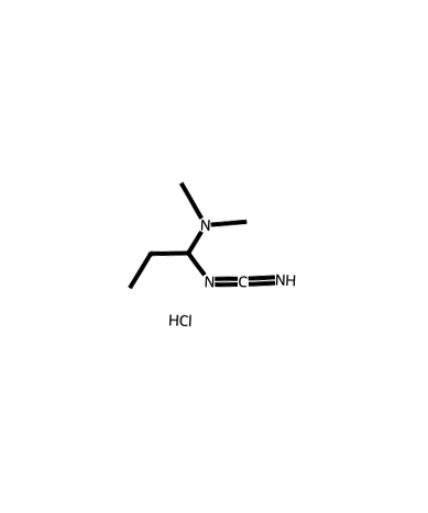 CCC(N=C=N)N(C)C.Cl